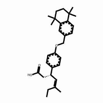 CCC(C)=C[C@H](CC(=O)O)c1ccc(OCc2ccc3c(c2)C(C)(C)CCC3(C)C)cc1